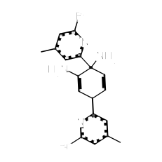 Cc1cc(Br)nc(C2C=CC(N)(c3cc(C)cc(Br)n3)C(N)=C2)c1